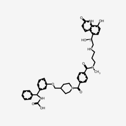 CN(CCCNC[C@@H](O)c1ccc(O)c2[nH]c(=O)ccc12)C(=O)c1ccc(C(=O)N2CCC(COc3cccc(C(NC(=O)O)c4ccccc4)c3)CC2)cc1